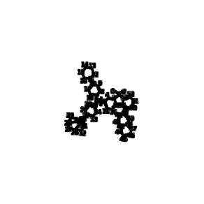 CC1(C)c2cc(N(c3ccc(C4CCCCC4)cc3)c3ccc(C4C5CC6CC(C5)CC4C6)cc3)ccc2-c2c(-c3ccc4ccccc4c3)cccc21